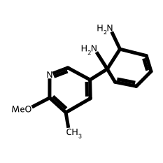 COc1ncc(C2(N)C=CC=CC2N)cc1C